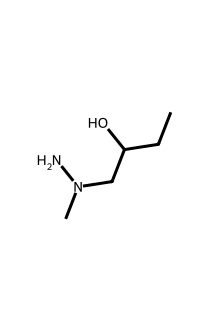 CCC(O)CN(C)N